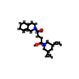 CC1CC(C)CN(C(=O)CCC(=O)N2CCC3CCCC=C3C2)C1